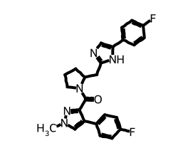 Cn1cc(-c2ccc(F)cc2)c(C(=O)N2CCCC2Cc2ncc(-c3ccc(F)cc3)[nH]2)n1